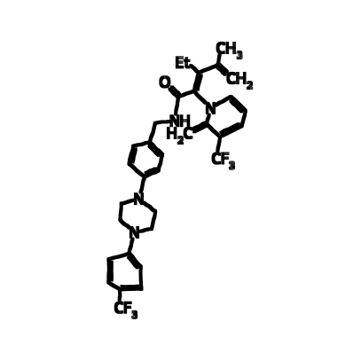 C=C(C)/C(CC)=C(/C(=O)NCc1ccc(N2CCN(c3ccc(C(F)(F)F)cc3)CC2)cc1)N1C=CC=C(C(F)(F)F)C1=C